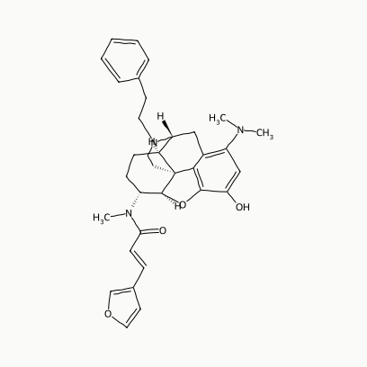 CN(C)c1cc(O)c2c3c1C[C@@H]1[C@@H]4CC[C@@H](N(C)C(=O)C=Cc5ccoc5)[C@H](O2)[C@]34CCN1CCc1ccccc1